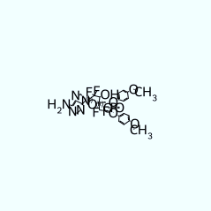 COc1ccc(OP(=O)(OC[C@@]2(C(F)F)O[C@@H](n3cnc4c(N)ncnc43)C(F)(F)C2O)Oc2ccc(OC)cc2)cc1